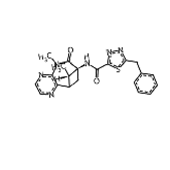 C[C@H]1C2C[C@@]1(NC(=O)c1nnc(Cc3ccccc3)s1)C(=O)N(C)c1nccnc12